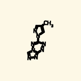 Cc1cnn(-c2nnc3nncn3n2)c1